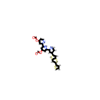 O=COc1ccnc(-c2cc(OC=O)cc(-c3cc(-c4cc5sc(-c6cccs6)cc5s4)ccn3)n2)c1